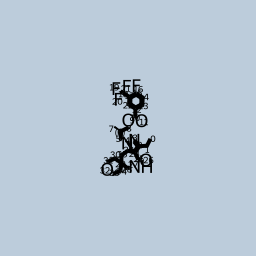 CCc1nn(C[C@@H](C)COC(=O)c2ccc(F)c(C(F)(F)F)c2)c2c1C(=O)NCC1(CCOCC1)C2